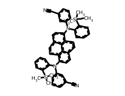 C[Si](C)(C)c1ccccc1N(c1cccc(C#N)c1)c1ccc2ccc3c(N(c4cccc(C#N)c4)c4ccccc4[Si](C)(C)C)ccc4ccc1c2c43